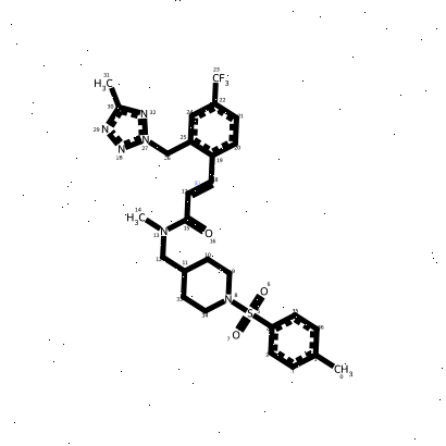 Cc1ccc(S(=O)(=O)N2CCC(CN(C)C(=O)/C=C/c3ccc(C(F)(F)F)cc3Cn3nnc(C)n3)CC2)cc1